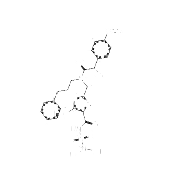 COc1ccc([C@@H](O)C(=O)N(CCCc2ccccc2)Cc2nc(C(=O)NS(=O)(=O)N(C)C)c(C)s2)cc1